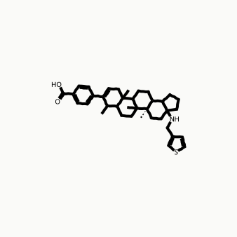 CC1C(c2ccc(C(=O)O)cc2)=CCC2(C)C1CCC1(C)C2CCC2C3CCCC3(NCc3ccsc3)CC[C@]21C